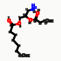 CCCCCCCCCCCCCCCC(=O)OCC(CN)OC(=O)CCCCCCCCCCC